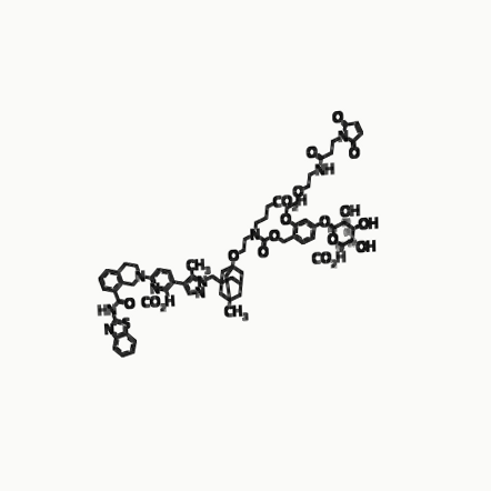 Cc1c(-c2ccc(N3CCc4cccc(C(=O)Nc5nc6ccccc6s5)c4C3)nc2C(=O)O)cnn1CC12CC3CC(C)(C1)CC(OCCN(CCCC(=O)O)C(=O)OCc1ccc(O[C@@H]4O[C@H](C(=O)O)[C@@H](O)[C@H](O)[C@H]4O)cc1OCCOCCNC(=O)CCN1C(=O)C=CC1=O)(C3)C2